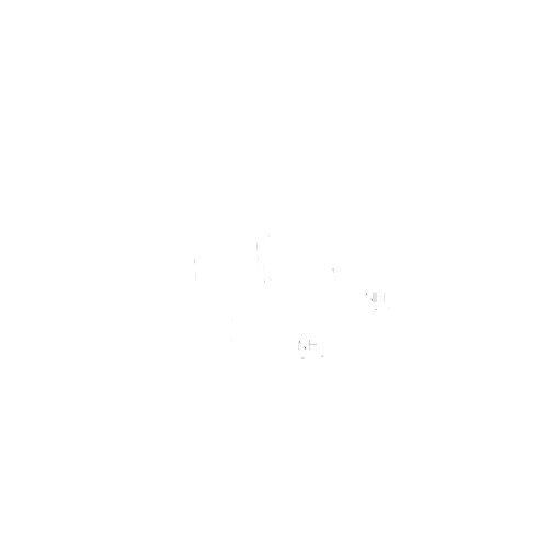 Cc1ccccc1C(N)CN